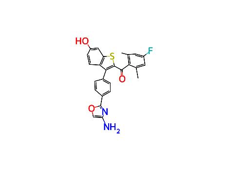 Cc1cc(F)cc(C)c1C(=O)c1sc2cc(O)ccc2c1-c1ccc(-c2nc(N)co2)cc1